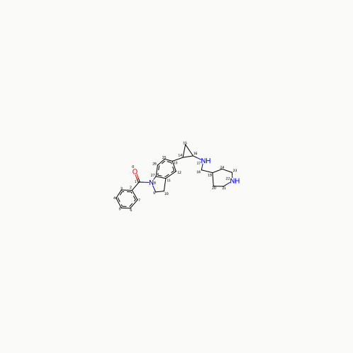 O=C(c1ccccc1)N1CCc2cc(C3CC3NCC3CCNCC3)ccc21